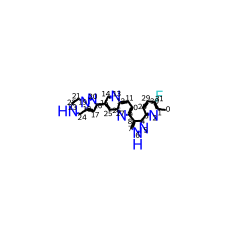 Cc1nc(-c2n[nH]cc2-c2ccc3ncc(-c4cc5n(n4)CCNC5)cc3n2)ccc1F